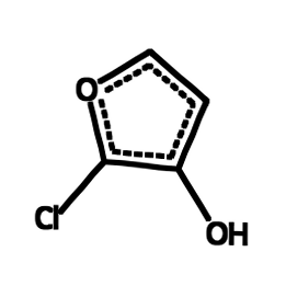 Oc1ccoc1Cl